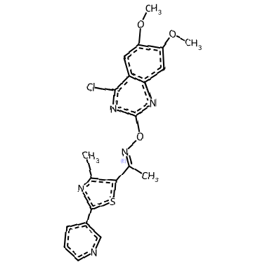 COc1cc2nc(O/N=C(\C)c3sc(-c4cccnc4)nc3C)nc(Cl)c2cc1OC